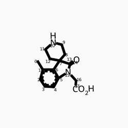 Cc1cccc2c1C1(CCNCC1)C(=O)N2CC(=O)O